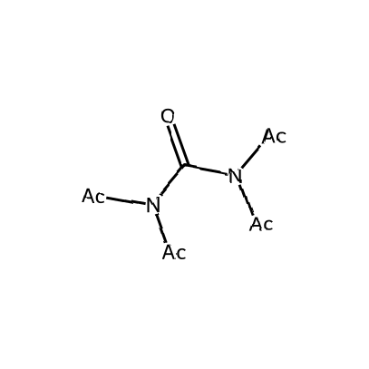 CC(=O)N(C(C)=O)C(=O)N(C(C)=O)C(C)=O